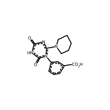 O=C(O)c1cccc(-n2c(N3CCCCC3)nc(=O)[nH]c2=O)c1